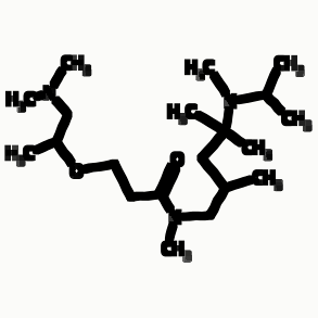 CC(CN(C)C(=O)CCOC(C)CN(C)C)CC(C)(C)N(C)C(C)C